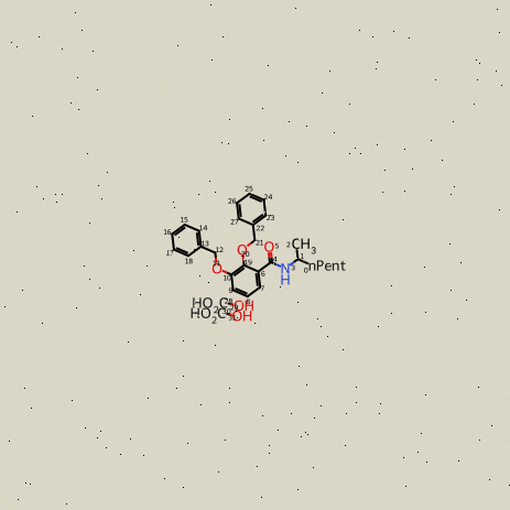 CCCCCC(C)NC(=O)c1cccc(OCc2ccccc2)c1OCc1ccccc1.O=C(O)O.O=C(O)O